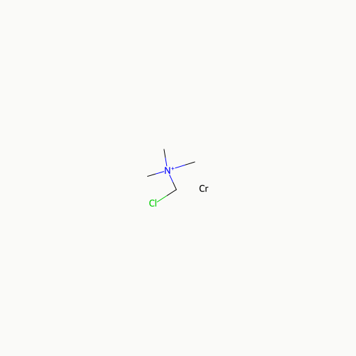 C[N+](C)(C)CCl.[Cr]